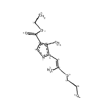 CCOC(=O)c1cnn(/C=C(\C)OCCOC)c1C